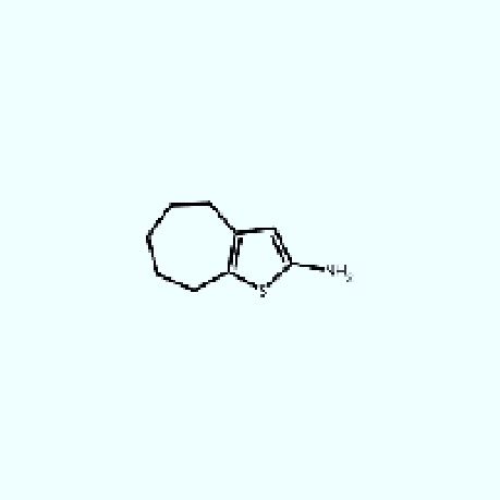 Nc1[c]c2c(s1)CCCCC2